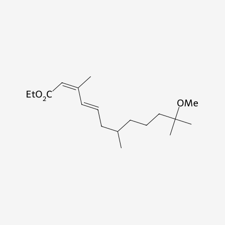 CCOC(=O)C=C(C)C=CCC(C)CCCC(C)(C)OC